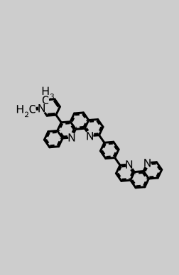 C=N/C=C(\C=C/C)c1c2ccccc2nc2c1ccc1ccc(-c3ccc(-c4ccc5ccc6cccnc6c5n4)cc3)nc12